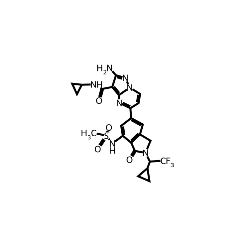 CS(=O)(=O)Nc1cc(-c2ccn3nc(N)c(C(=O)NC4CC4)c3n2)cc2c1C(=O)N(C(C1CC1)C(F)(F)F)C2